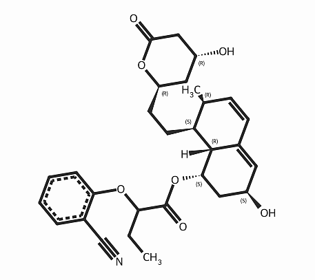 CCC(Oc1ccccc1C#N)C(=O)O[C@H]1C[C@H](O)C=C2C=C[C@H](C)[C@H](CC[C@@H]3C[C@@H](O)CC(=O)O3)[C@H]21